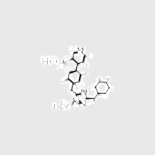 CCCCn1nc(CC2CCCCC2)nc1Cc1ccc(-c2ccncc2C(=O)O)cc1